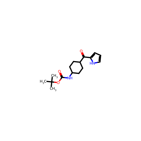 CC(C)(C)OC(=O)NC1CCC(C(=O)c2ccc[nH]2)CC1